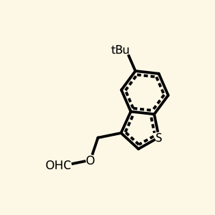 CC(C)(C)c1ccc2scc(COC=O)c2c1